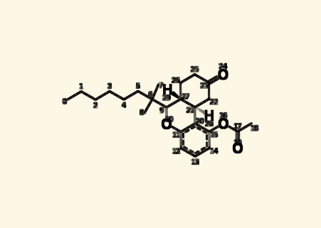 CCCCCCC(C)(C)C1Oc2cccc(OC(C)=O)c2[C@@H]2CC(=O)CC[C@@H]12